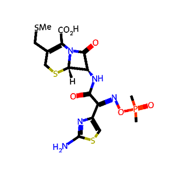 CSCC1=C(C(=O)O)N2C(=O)[C@@H](NC(=O)C(=NOP(C)(C)=O)c3csc(N)n3)[C@@H]2SC1